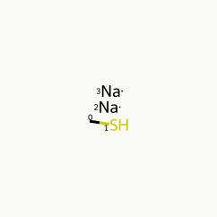 CS.[Na].[Na]